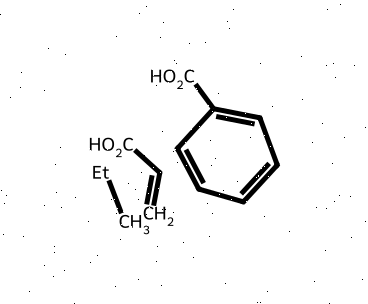 C=CC(=O)O.CCC.O=C(O)c1ccccc1